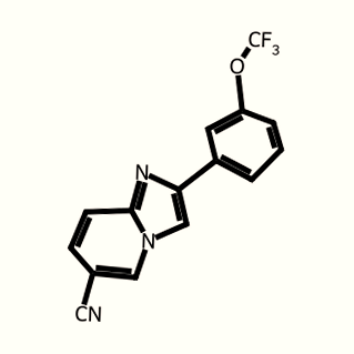 N#Cc1ccc2nc(-c3cccc(OC(F)(F)F)c3)cn2c1